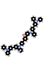 c1ccc(-n2c3ccccc3c3cc(-c4ccc5c(c4)c4ccccc4n5-c4ccc5oc6cc(-c7ccc(-n8c9ccc(-c%10ccc%11c(c%10)c%10ccccc%10n%11-c%10ccccc%10)cc9c9ncccc98)cc7)ccc6c5c4)ccc32)cc1